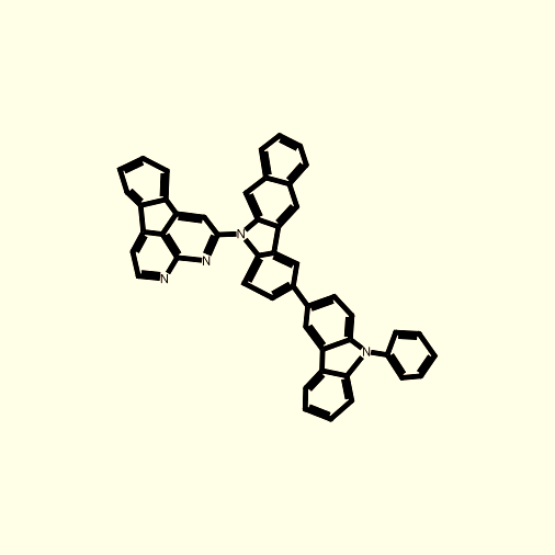 c1ccc(-n2c3ccccc3c3cc(-c4ccc5c(c4)c4cc6ccccc6cc4n5-c4cc5c6c(ccnc6n4)-c4ccccc4-5)ccc32)cc1